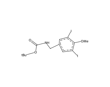 COc1c(I)cc(CNC(=O)OC(C)(C)C)cc1I